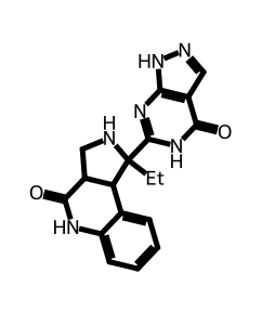 CCC1(c2nc3[nH]ncc3c(=O)[nH]2)NCC2C(=O)Nc3ccccc3C21